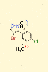 COc1cc(-c2c(Br)cnn2C)c(C#N)cc1Cl